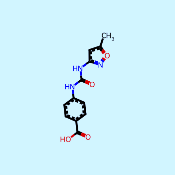 Cc1cc(NC(=O)Nc2ccc(C(=O)O)cc2)no1